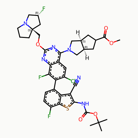 COC(=O)C1C[C@@H]2CN(c3nc(OC[C@@]45CCCN4C[C@H](F)C5)nc4c(F)c(-c5ccc(F)c6sc(NC(=O)OC(C)(C)C)c(C#N)c56)c(Cl)cc34)C[C@@H]2C1